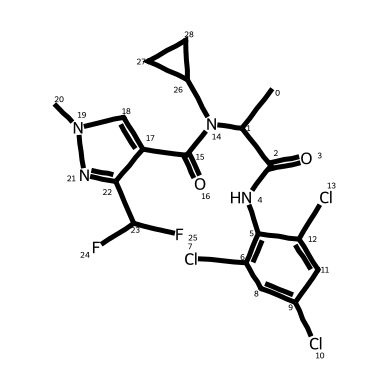 CC(C(=O)Nc1c(Cl)cc(Cl)cc1Cl)N(C(=O)c1cn(C)nc1C(F)F)C1CC1